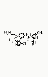 Cn1cc(C(=O)Nc2ccc(OCCN)c(-c3c(Cl)cnn3C)c2)c(C(F)(F)F)n1